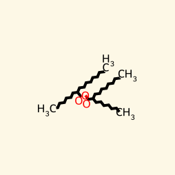 CCCCCCCCCC(CCCCCCC)C(=O)OC(=O)C(CCCCCCC)CCCCCCCCC